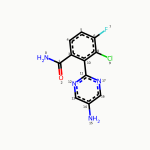 NC(=O)c1ccc(F)c(Cl)c1-c1ncc(N)cn1